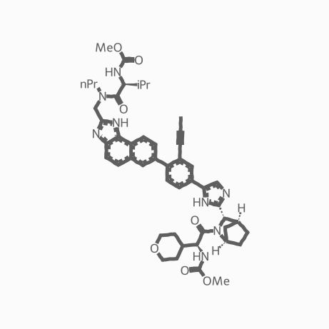 CC#Cc1cc(-c2cnc([C@@H]3[C@H]4CC[C@H](C4)N3C(=O)[C@@H](NC(=O)OC)C3CCOCC3)[nH]2)ccc1-c1ccc2c(ccc3nc(CN(CCC)C(=O)[C@@H](NC(=O)OC)C(C)C)[nH]c32)c1